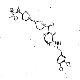 Cc1c(NCCc2ccc(Cl)c(Cl)c2)ncnc1C(=O)N1CCC(N2CCC(N(C)S(C)(=O)=O)CC2)CC1